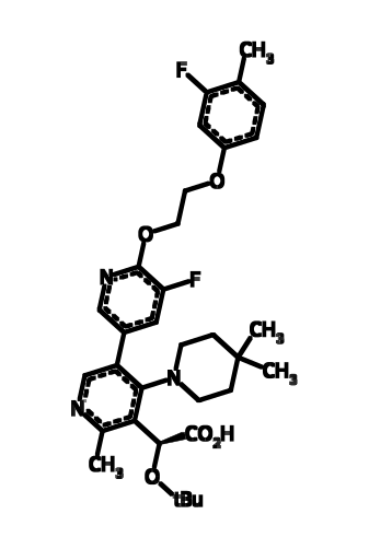 Cc1ccc(OCCOc2ncc(-c3cnc(C)c([C@H](OC(C)(C)C)C(=O)O)c3N3CCC(C)(C)CC3)cc2F)cc1F